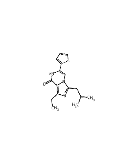 CCc1nc(CC(C)C)n2nc(-c3cccs3)[nH]c(=O)c12